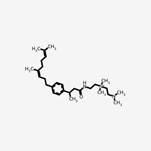 CC(C)=CCCC(C)=CCCc1ccc(C(C)CC(=O)NCC[N+](C)(C)CCN(C)C)cc1